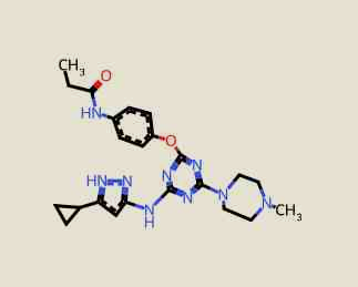 CCC(=O)Nc1ccc(Oc2nc(Nc3cc(C4CC4)[nH]n3)nc(N3CCN(C)CC3)n2)cc1